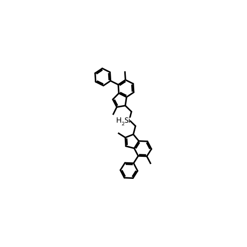 CC1=Cc2c(ccc(C)c2-c2ccccc2)C1C[SiH2]CC1C(C)=Cc2c1ccc(C)c2-c1ccccc1